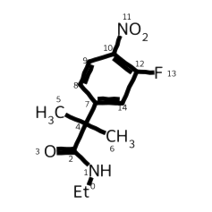 CCNC(=O)C(C)(C)c1ccc([N+](=O)[O-])c(F)c1